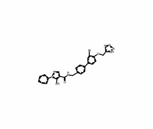 CCCc1c(C(=O)NCc2ccc(-c3ccc(OCc4nnn[nH]4)c(Br)c3)cc2)cnn1-c1ccccc1